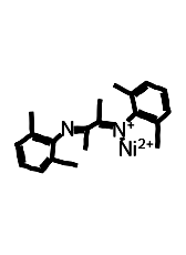 CC(=Nc1c(C)cccc1C)C(C)=[N+]([Ni+2])c1c(C)cccc1C